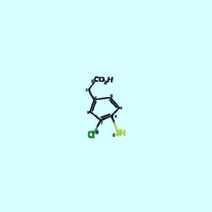 O=C(O)Cc1ccc(S)c(Cl)c1